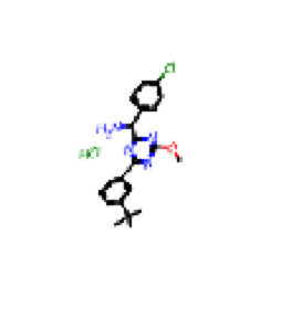 COc1nc(-c2cccc(C(C)(C)C)c2)nc(C(N)c2ccc(Cl)cc2)n1.Cl